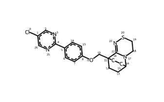 Clc1cnc(-c2ccc(OCC34CCC(CC3)N3CCSN=C34)cc2)nc1